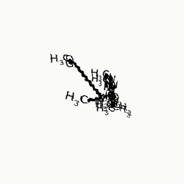 CCCCCCN(CCCCCCCCCCCCCCCC(=O)OC)OC[C@]12CC3(O[Si](C)(C)C(C)(C)C)OC(C31)[C@H](n1cnc3c(/N=C\N(C)C)ncnc31)O2